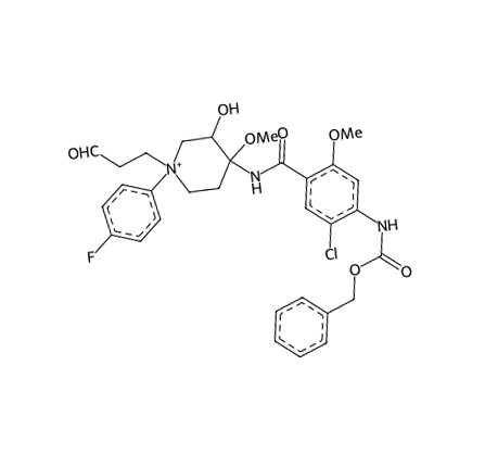 COc1cc(NC(=O)OCc2ccccc2)c(Cl)cc1C(=O)NC1(OC)CC[N+](CCC=O)(c2ccc(F)cc2)CC1O